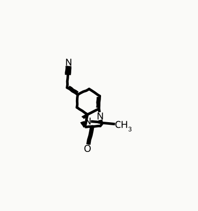 CN1C=C2C(=O)CC=NC3=CC/C(=C\C#N)CC32C1